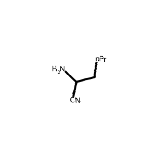 CCCCC(N)C#N